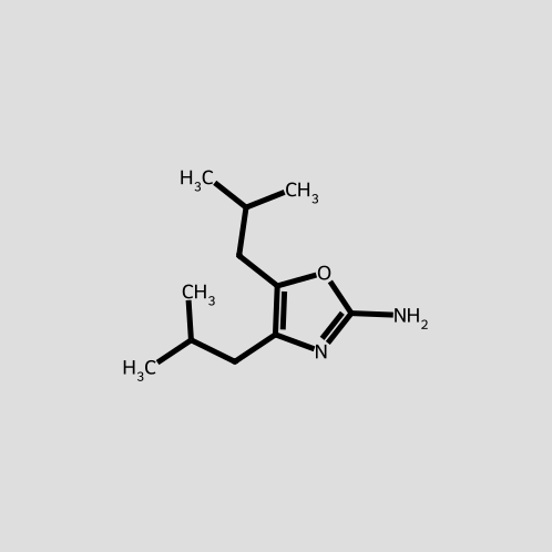 CC(C)Cc1nc(N)oc1CC(C)C